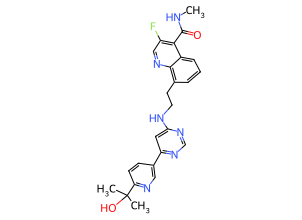 CNC(=O)c1c(F)cnc2c(CCNc3cc(-c4ccc(C(C)(C)O)nc4)ncn3)cccc12